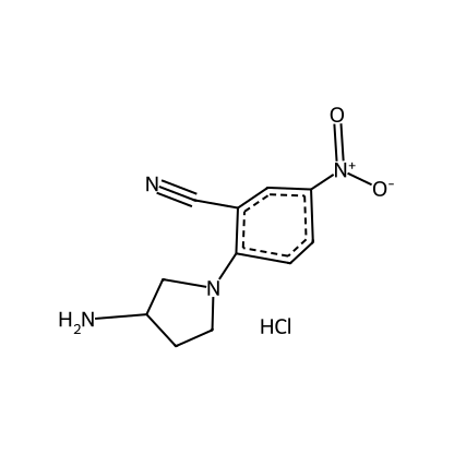 Cl.N#Cc1cc([N+](=O)[O-])ccc1N1CCC(N)C1